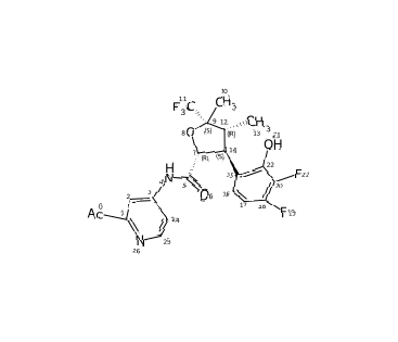 CC(=O)c1cc(NC(=O)[C@@H]2O[C@](C)(C(F)(F)F)[C@H](C)[C@H]2c2ccc(F)c(F)c2O)ccn1